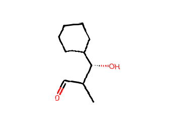 CC(C=O)[C@@H](O)C1CCCCC1